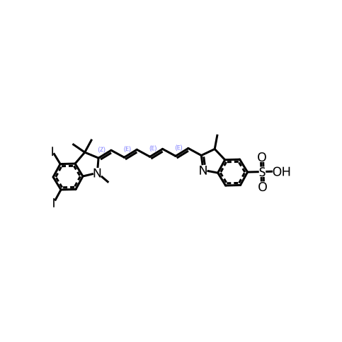 CC1C(/C=C/C=C/C=C/C=C2\N(C)c3cc(I)cc(I)c3C2(C)C)=Nc2ccc(S(=O)(=O)O)cc21